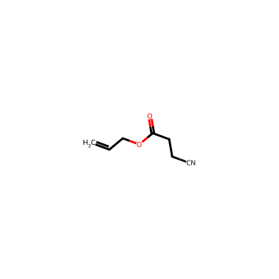 C=CCOC(=O)CCC#N